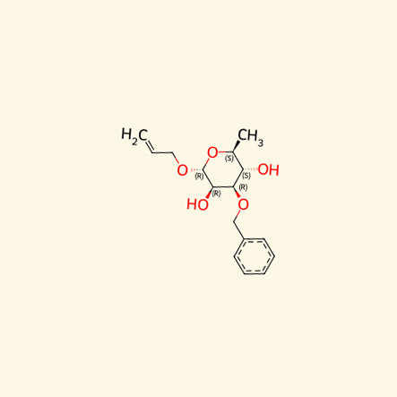 C=CCO[C@@H]1O[C@@H](C)[C@H](O)[C@@H](OCc2ccccc2)[C@H]1O